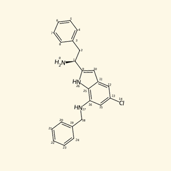 N[C@@H](Cc1ccccc1)c1cc2cc(Cl)cc(NCc3ccccc3)c2[nH]1